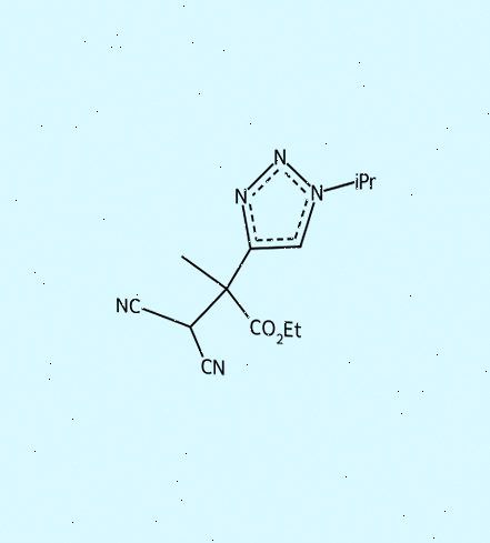 CCOC(=O)C(C)(c1cn(C(C)C)nn1)C(C#N)C#N